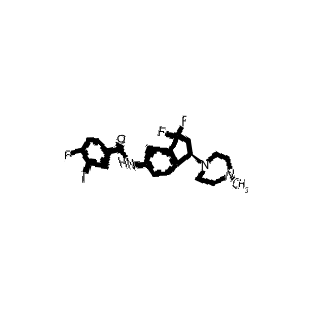 CN1CCN([C@@H]2CC(F)(F)c3cc(NC(=O)c4ccc(F)c(I)c4)ccc32)CC1